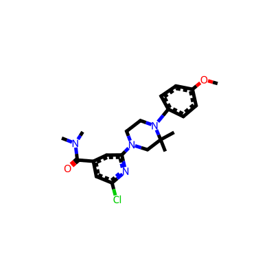 COc1ccc(N2CCN(c3cc(C(=O)N(C)C)cc(Cl)n3)CC2(C)C)cc1